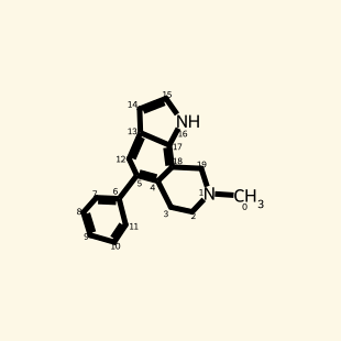 CN1CCc2c(-c3ccccc3)cc3cc[nH]c3c2C1